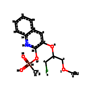 CCCCOCC(CF)Oc1cc2ccccc2nc1OS(=O)(=O)C(F)(F)F